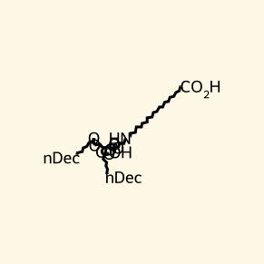 CCCCCCCCCCCCCCCC(=O)OCC(COP(=O)(O)OCCNCCCCCCCCCCCCCCCCCCCCC(=O)O)OC(=O)CCCCCCCCCCCCCCC